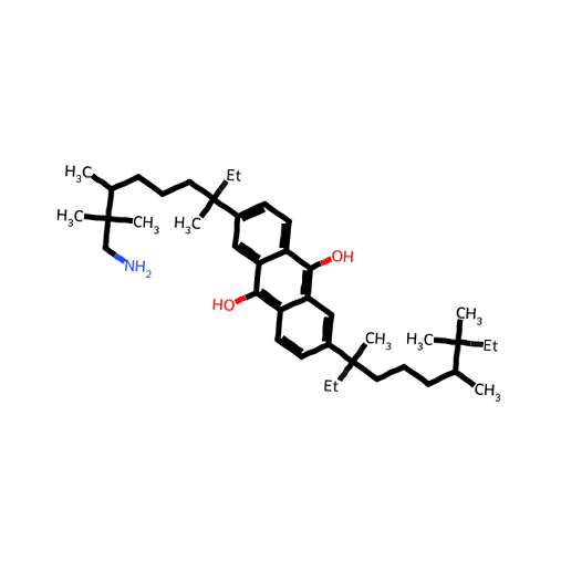 CCC(C)(CCCC(C)C(C)(C)CC)c1ccc2c(O)c3cc(C(C)(CC)CCCC(C)C(C)(C)CN)ccc3c(O)c2c1